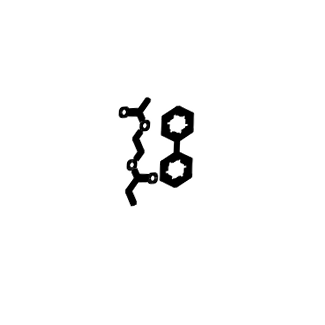 CCC(=O)OCCOC(C)=O.c1ccc(-c2ccccc2)cc1